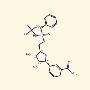 CC(C)C(C)(NP(=O)(OC[C@H]1O[C@@H](N2C=CCC(C(N)=O)=C2)[C@H](O)[C@@H]1O)Oc1ccccc1)C(=O)O